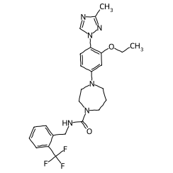 CCOc1cc(N2CCCN(C(=O)NCc3ccccc3C(F)(F)F)CC2)ccc1-n1cnc(C)n1